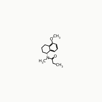 CCC(=O)N(C)[C@@H]1CCCc2c(OC)cccc21